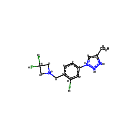 O=C(O)c1cn(-c2ccc(CN3CC(F)(F)C3)c(F)c2)nn1